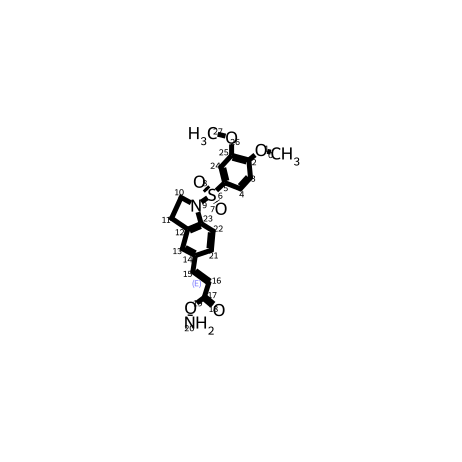 COc1ccc(S(=O)(=O)N2CCc3cc(/C=C/C(=O)ON)ccc32)cc1OC